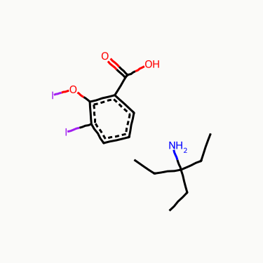 CCC(N)(CC)CC.O=C(O)c1cccc(I)c1OI